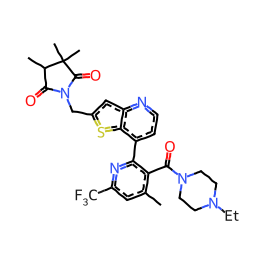 CCN1CCN(C(=O)c2c(C)cc(C(F)(F)F)nc2-c2ccnc3cc(CN4C(=O)C(C)C(C)(C)C4=O)sc23)CC1